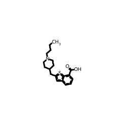 CCCCN1CCC(Cc2cc3cccc(C(=O)O)c3s2)CC1